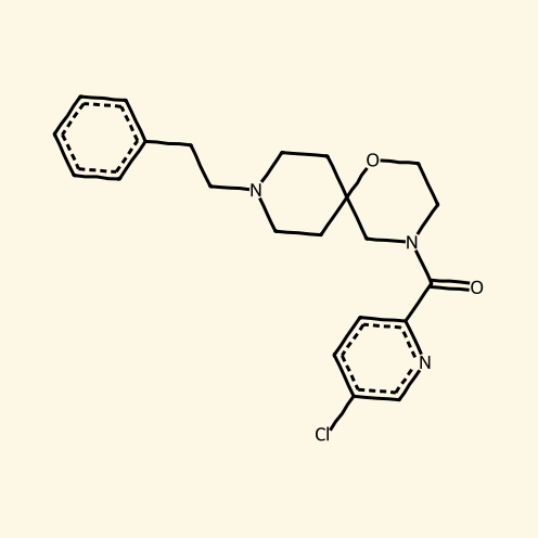 O=C(c1ccc(Cl)cn1)N1CCOC2(CCN(CCc3ccccc3)CC2)C1